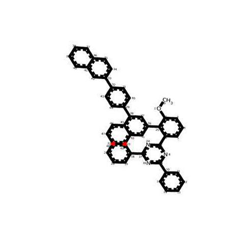 COc1cccc(-c2nc(-c3ccccc3)nc(-c3ccccc3)n2)c1-c1cc(-c2ccc(-c3ccc4ccccc4c3)cc2)c2ccccc2c1